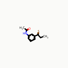 CCC(=S)c1cccc(NC(C)=O)c1